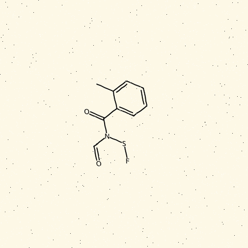 Cc1ccccc1C(=O)N(C=O)SF